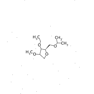 CCOC1C(OC)CO[C@@H]1COC(C)C